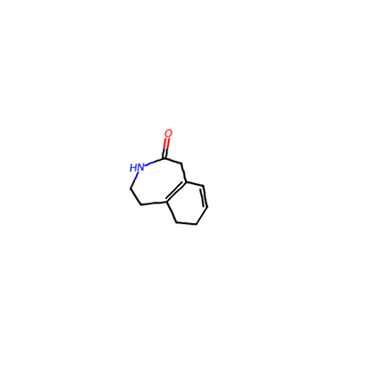 O=C1CC2=C(CCC=C2)CCN1